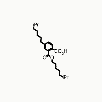 CC(C)CCCCCOC(=O)c1cc(CCCCCC(C)C)ccc1C(=O)O